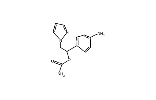 NC(=O)OC(Cn1cccn1)c1ccc(N)cc1